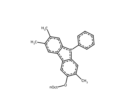 CCCCCCCCOc1cc2c3cc(C)c(C)cc3p(-c3ccccc3)c2cc1C